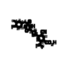 Cc1cc(CS(=O)(=O)NC(=O)C2CN(c3nc(C(F)F)c(C(=O)O)cc3C#N)C2)ccc1F